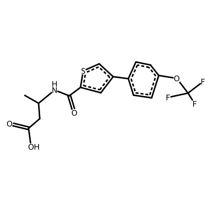 CC(CC(=O)O)NC(=O)c1cc(-c2ccc(OC(F)(F)F)cc2)cs1